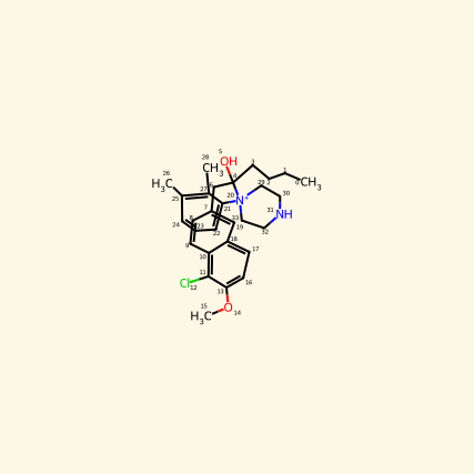 CCCCC(O)(Cc1ccc2c(Cl)c(OC)ccc2c1)[N+]1(c2cccc(C)c2C)CCNCC1